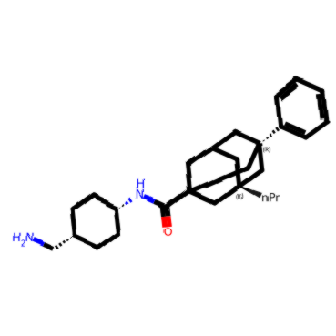 CCC[C@]12CC3CC(C(=O)N[C@H]4CC[C@@H](CN)CC4)(C1)C[C@@](c1ccccc1)(C3)C2